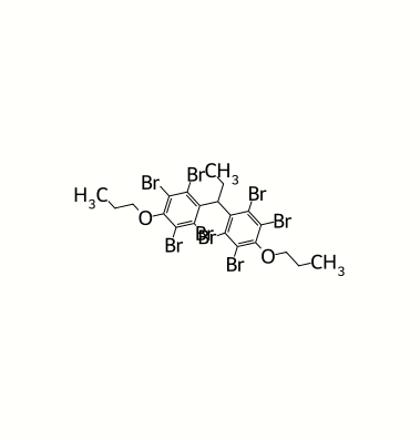 CCCOc1c(Br)c(Br)c(C(CC)c2c(Br)c(Br)c(OCCC)c(Br)c2Br)c(Br)c1Br